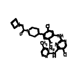 Cc1ccnc(Nc2nc(Nc3cc(Cl)c(C4CCN(C(=O)CN5CCC5)CC4)cc3C)ncc2Cl)c1